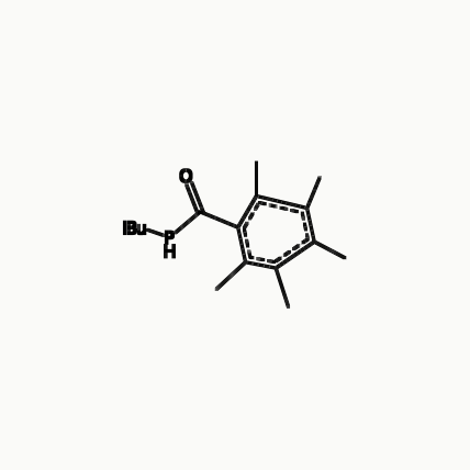 CCC(C)PC(=O)c1c(C)c(C)c(C)c(C)c1C